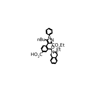 CCCCc1c(-c2ccc(C(=O)O)cc2C(=O)N2Cc3ccccc3C[C@H]2CC)c(C(=O)OCC)nn1-c1ccccc1